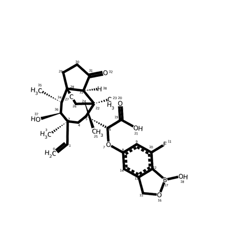 C=C[C@]1(C)C[C@@H](C(Oc2cc(F)c3c(c2)COB3O)C(=O)O)[C@@]2(C)[C@H](C)CC[C@]3(CCC(=O)[C@H]32)[C@@H](C)[C@@H]1O